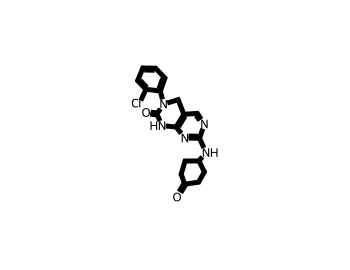 O=C1CCC(Nc2ncc3c(n2)NC(=O)N(c2ccccc2Cl)C3)CC1